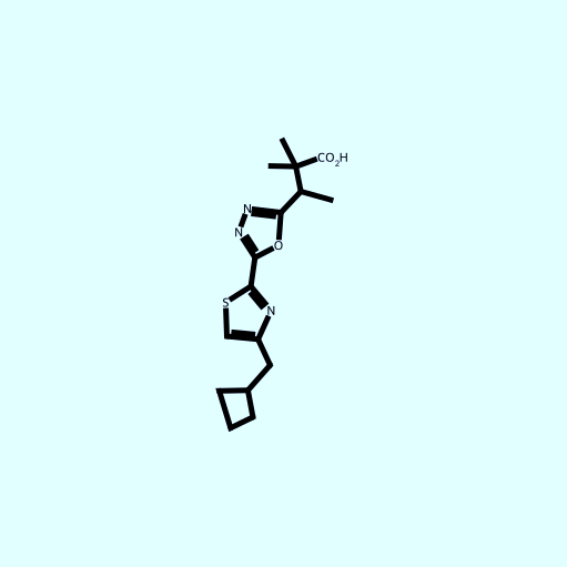 CC(c1nnc(-c2nc(CC3CCC3)cs2)o1)C(C)(C)C(=O)O